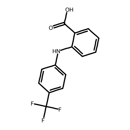 O=C(O)c1ccccc1Nc1ccc(C(F)(F)F)cc1